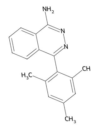 Cc1cc(C)c(-c2nnc(N)c3ccccc23)c(C)c1